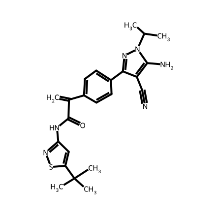 C=C(C(=O)Nc1cc(C(C)(C)C)sn1)c1ccc(-c2nn(C(C)C)c(N)c2C#N)cc1